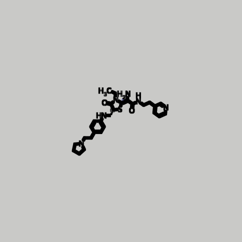 CCN1C(=O)[C@@H](CNc2ccc(CCN3CCCC3)cc2)S/C1=C(/N)C(=O)NCCc1cccnc1